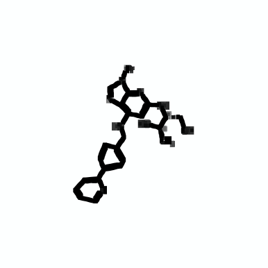 CC(C)n1cnc2c(NCc3ccc(-c4ccccn4)cc3)cc(N[C@H](CO)[C@@H](C)O)nc21